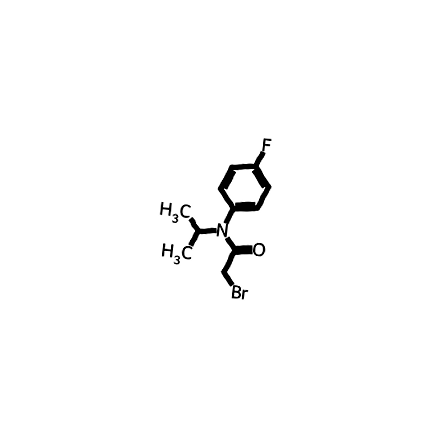 CC(C)N(C(=O)CBr)c1ccc(F)cc1